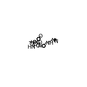 CCOC(=O)C(=N)C1=C(Nc2ccc(OC)cc2)C(=O)N(c2cccc(CNCCCn3ccnc3)c2)CC1